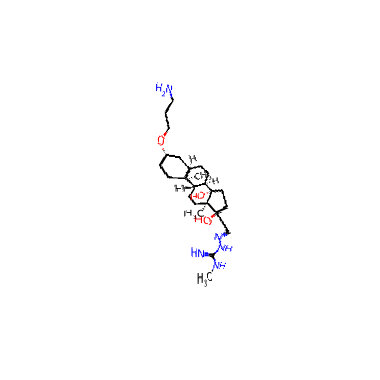 CNC(=N)N/N=C/[C@@]1(O)CC[C@]2(O)[C@@H]3CC[C@@H]4C[C@@H](OCCCN)CC[C@]4(C)[C@H]3CC[C@]12C